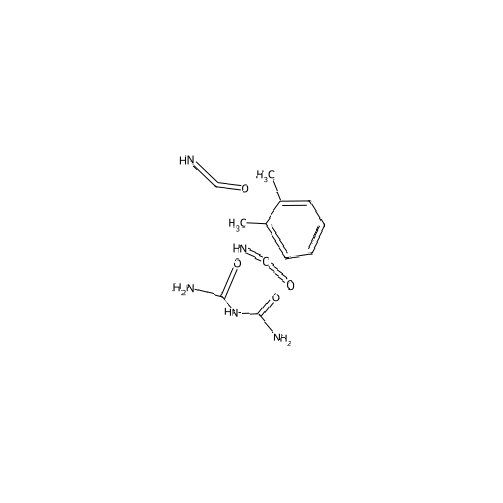 Cc1ccccc1C.N=C=O.N=C=O.NC(=O)NC(N)=O